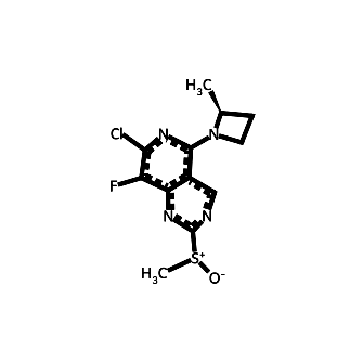 C[C@H]1CCN1c1nc(Cl)c(F)c2nc([S+](C)[O-])ncc12